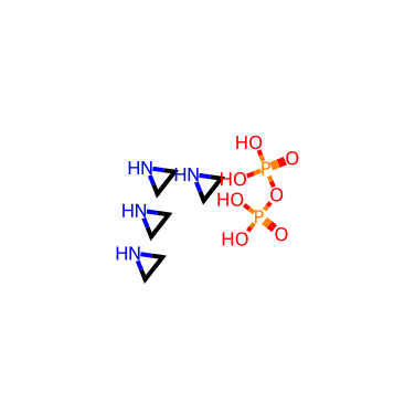 C1CN1.C1CN1.C1CN1.C1CN1.O=P(O)(O)OP(=O)(O)O